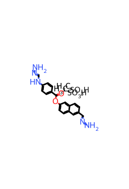 CS(=O)(=O)O.CS(=O)(=O)O.NN=CNc1ccc(C(=O)Oc2ccc3cc(C=NN)ccc3c2)cc1